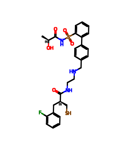 C[C@H](O)C(=O)NS(=O)(=O)c1ccccc1-c1ccc(CNCCNC(=O)[C@@H](CS)Cc2ccccc2F)cc1